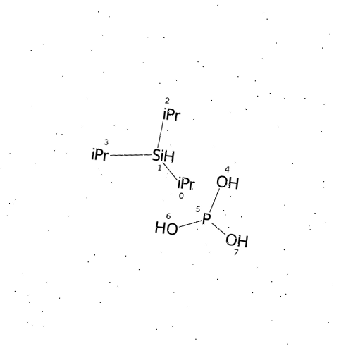 CC(C)[SiH](C(C)C)C(C)C.OP(O)O